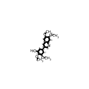 COc1cc2cc(-c3cc(O)c(OC)c(OC)c3)cnc2cc1OC